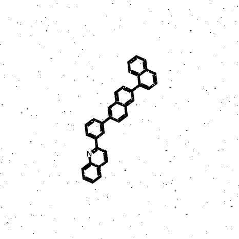 c1cc(-c2ccc3cc(-c4cccc5ccccc45)ccc3c2)cc(-c2ccc3ccccc3n2)c1